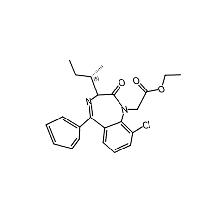 CCOC(=O)CN1C(=O)C([C@@H](C)CC)N=C(c2ccccc2)c2cccc(Cl)c21